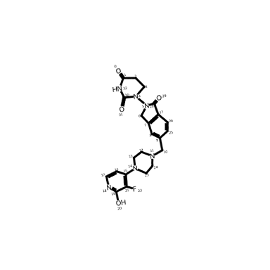 O=C1CCN(N2Cc3cc(CN4CCN(c5ccnc(O)c5F)CC4)ccc3C2=O)C(=O)N1